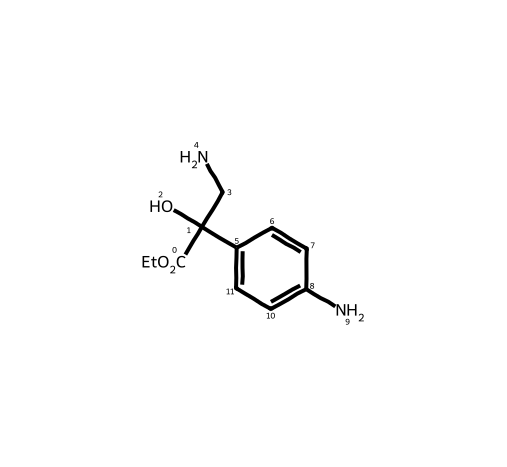 CCOC(=O)C(O)(CN)c1ccc(N)cc1